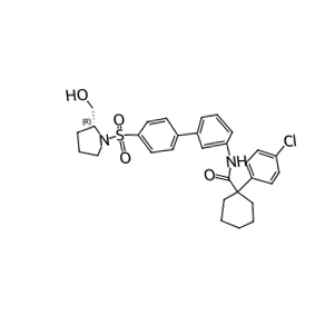 O=C(Nc1cccc(-c2ccc(S(=O)(=O)N3CCC[C@@H]3CO)cc2)c1)C1(c2ccc(Cl)cc2)CCCCC1